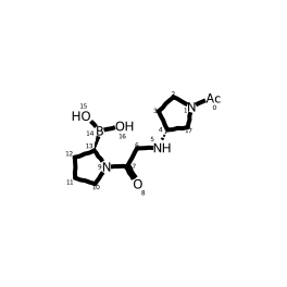 CC(=O)N1CC[C@@H](NCC(=O)N2CCC[C@H]2B(O)O)C1